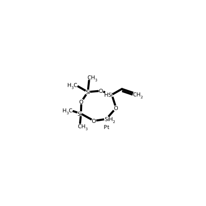 C=C[SiH]1O[SiH2]O[Si](C)(C)O[Si](C)(C)O1.[Pt]